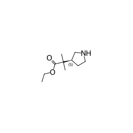 CCOC(=O)C(C)(C)[C@@H]1CCNC1